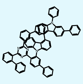 c1ccc(-c2cccc(-c3nc(-c4ccccc4-c4ccccc4)nc(-c4ccc(-c5ccccc5)cc4-n4c5ccccc5c5c(-c6cccc7c6c6ccc(-c8ccccc8)cc6n7-c6ccccc6)cccc54)n3)c2)cc1